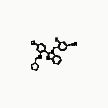 N#Cc1ccc(Cn2c(-c3ccc(Cl)cc3OCC3CCCC3)nc3ccccc32)c(F)c1